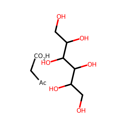 CC(=O)CC(=O)O.OCC(O)C(O)C(O)C(O)CO